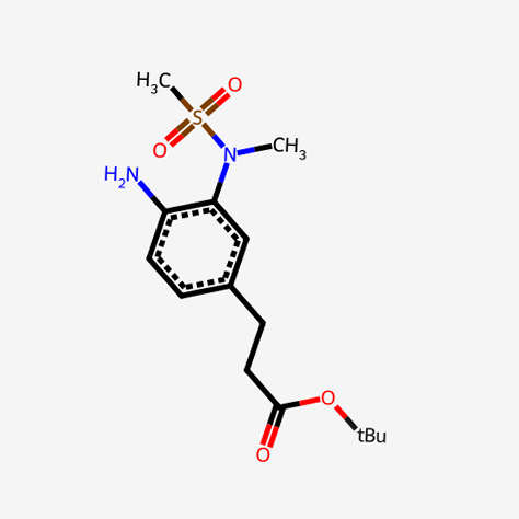 CN(c1cc(CCC(=O)OC(C)(C)C)ccc1N)S(C)(=O)=O